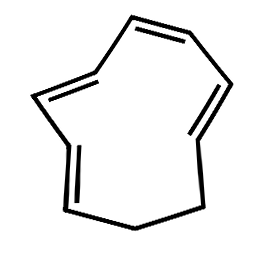 C1=C\C=C\CC/C=C/C=C/1